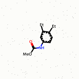 CCc1ccc(NC(=O)OC)cc1CC